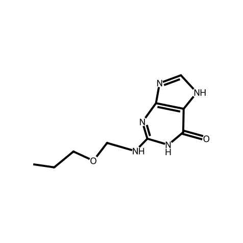 CCCOCNc1nc2nc[nH]c2c(=O)[nH]1